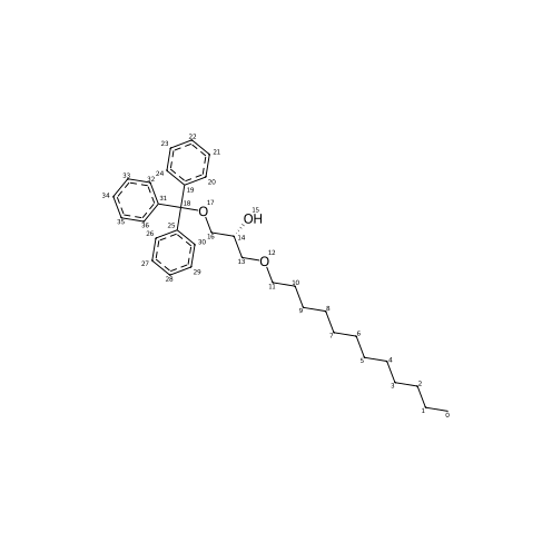 CCCCCCCCCCCCOC[C@@H](O)COC(c1ccccc1)(c1ccccc1)c1ccccc1